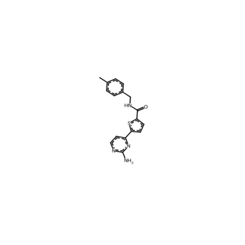 Cc1ccc(CNC(=O)c2ccc(-c3ccnc(N)n3)s2)cc1